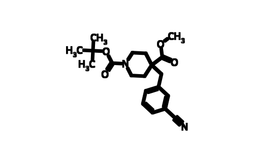 COC(=O)C1(Cc2cccc(C#N)c2)CCN(C(=O)OC(C)(C)C)CC1